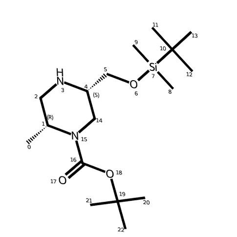 C[C@@H]1CN[C@H](CO[Si](C)(C)C(C)(C)C)CN1C(=O)OC(C)(C)C